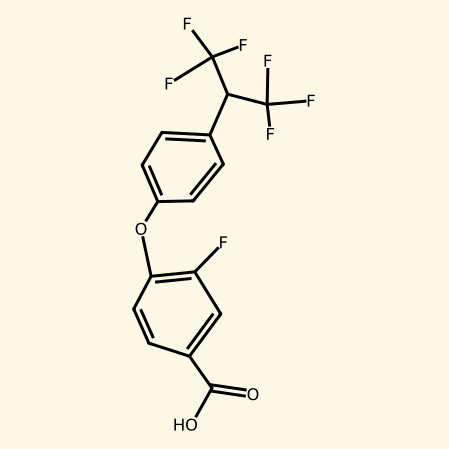 O=C(O)c1ccc(Oc2ccc(C(C(F)(F)F)C(F)(F)F)cc2)c(F)c1